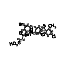 Cc1cc(Cl)ccc1C(=S)c1ccc(Nc2ccc(Br)cc2NC(=O)CCC(=O)O)cc1Cl